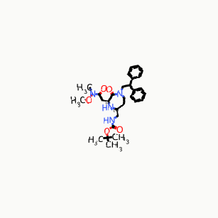 CON(C)C(=O)C[C@@H]1N[C@H](CNC(=O)OC(C)(C)C)CCN(CC(c2ccccc2)c2ccccc2)C1=O